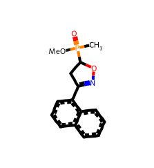 COP(C)(=O)C1CC(c2cccc3ccccc23)=NO1